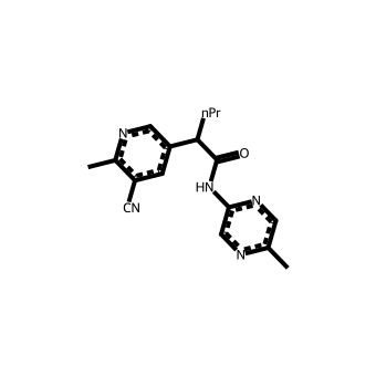 CCCC(C(=O)Nc1cnc(C)cn1)c1cnc(C)c(C#N)c1